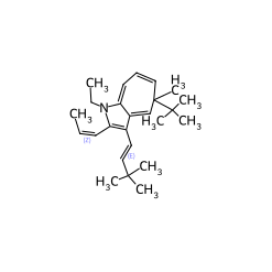 C/C=C\c1c(/C=C/C(C)(C)C)c2c(n1CC)=CC=CC(C)(C(C)(C)C)C=2